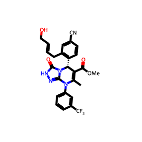 COC(=O)C1=C(C)N(c2cccc(C(F)(F)F)c2)c2n[nH]c(=O)n2[C@@H]1c1ccc(C#N)cc1C/C=C/CO